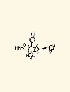 CNC(=O)C[C@@H]1N=C(c2ccc(Cl)cc2)c2c(sc(C#Cc3cncn3C)c2C)-n2c(C)nnc21